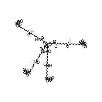 O=C(CCCCCCCNC(=O)CCOCC(COCCC(=O)NCCCCCCCC(=O)NCCCCCCCC(=O)ON1C(=O)CCC1=O)(COCCC(=O)NCCCCCCCC(=O)NCCCCCCCC(=O)ON1C(=O)CCC1=O)COCCC(=O)NCCCCCCCC(=O)NCCCCCCCC(=O)ON1C(=O)CCC1=O)NCCCCCCCC(=O)ON1C(=O)CCC1=O